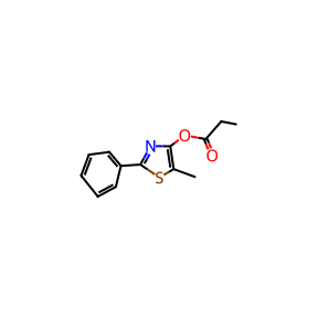 CCC(=O)Oc1nc(-c2ccccc2)sc1C